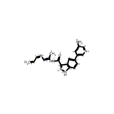 C=C/C=N\C=C(/C)NC(=O)c1n[nH]c2ccc(-c3cncc(N)c3)cc12